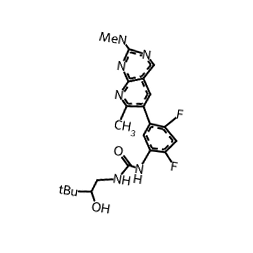 CNc1ncc2cc(-c3cc(NC(=O)NCC(O)C(C)(C)C)c(F)cc3F)c(C)nc2n1